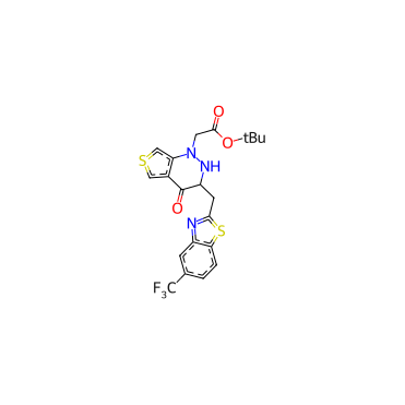 CC(C)(C)OC(=O)CN1NC(Cc2nc3cc(C(F)(F)F)ccc3s2)C(=O)c2cscc21